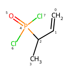 C=CC(C)P(=O)(Cl)Cl